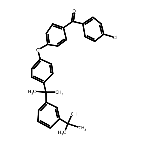 CC(C)(C)c1cccc(C(C)(C)c2ccc(Oc3ccc(C(=O)c4ccc(Cl)cc4)cc3)cc2)c1